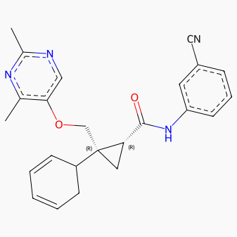 Cc1ncc(OC[C@@]2(C3C=CC=CC3)C[C@H]2C(=O)Nc2cccc(C#N)c2)c(C)n1